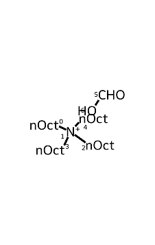 CCCCCCCC[N+](CCCCCCCC)(CCCCCCCC)CCCCCCCC.O=CO